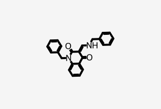 O=C1/C(=C\NCc2ccccc2)C(=O)N(Cc2ccccc2)c2ccccc21